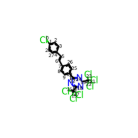 Clc1ccc(C=Cc2ccc(-c3nc(C(Cl)(Cl)Cl)nc(C(Cl)(Cl)Cl)n3)cc2)cc1